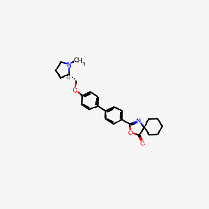 CN1CCC[C@H]1COc1ccc(-c2ccc(C3=NC4(CCCCC4)C(=O)O3)cc2)cc1